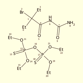 CCC(Br)(CC)C(=O)NC(N)=O.CCOP(=S)(OCC)OP(=S)(OCC)OCC